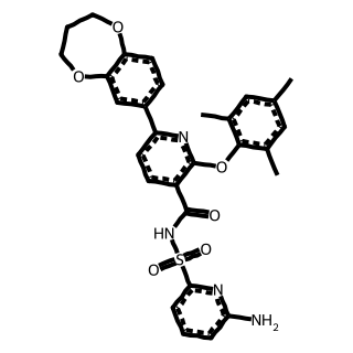 Cc1cc(C)c(Oc2nc(-c3ccc4c(c3)OCCCO4)ccc2C(=O)NS(=O)(=O)c2cccc(N)n2)c(C)c1